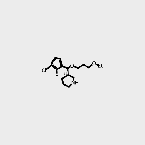 CCOCCCOC(c1cccc(Cl)c1F)[C@@H]1CCCNC1